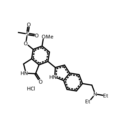 CCN(CC)Cc1ccc2[nH]c(-c3cc(OC)c(OS(C)(=O)=O)c4c3C(=O)NC4)cc2c1.Cl